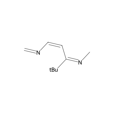 C=N/C=C\C(=N/C)C(C)(C)C